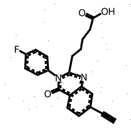 C#Cc1ccc2c(=O)n(-c3ccc(F)cc3)c(CCCCC(=O)O)nc2c1